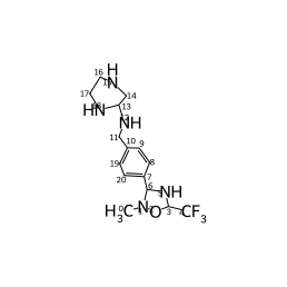 CN1OC(C(F)(F)F)NC1c1ccc(CNC2CNCCN2)cc1